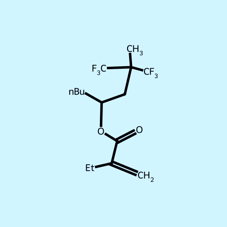 C=C(CC)C(=O)OC(CCCC)CC(C)(C(F)(F)F)C(F)(F)F